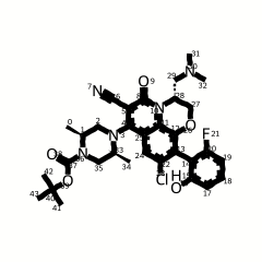 C[C@H]1CN(c2c(C#N)c(=O)n3c4c(c(-c5c(O)cccc5F)c(Cl)cc24)OC[C@H]3CN(C)C)[C@@H](C)CN1C(=O)OC(C)(C)C